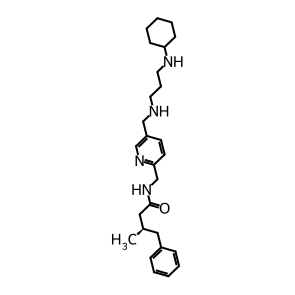 C[C@@H](CC(=O)NCc1ccc(CNCCCNC2CCCCC2)cn1)Cc1ccccc1